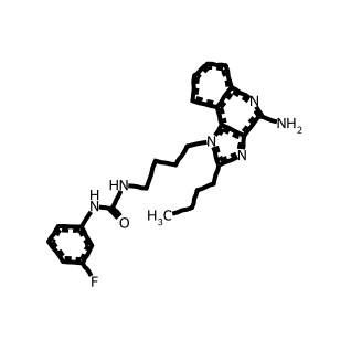 CCCCc1nc2c(N)nc3ccccc3c2n1CCCCNC(=O)Nc1cccc(F)c1